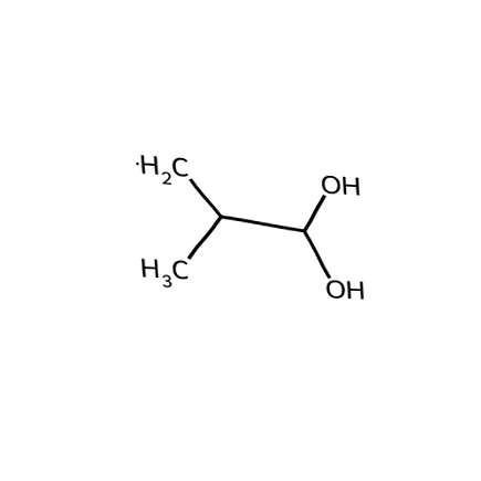 [CH2]C(C)C(O)O